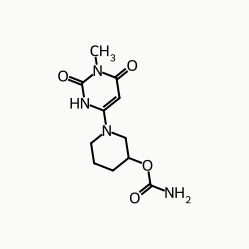 Cn1c(=O)cc(N2CCCC(OC(N)=O)C2)[nH]c1=O